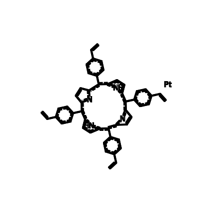 C=Cc1ccc(-c2c3nc(c(-c4ccc(C=C)cc4)c4ccc([nH]4)c(-c4ccc(C=C)cc4)c4nc(c(-c5ccc(C=C)cc5)c5ccc2[nH]5)C=C4)C=C3)cc1.[Pt]